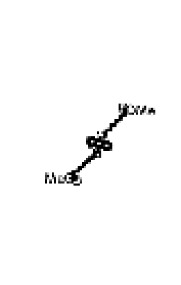 COC(=O)CCCCCCCCCOc1c2ccccc2c(OCCCCCCCCCC(=O)OC)c2ccccc12